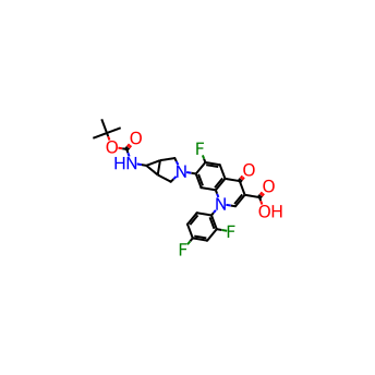 CC(C)(C)OC(=O)NC1C2CN(c3cc4c(cc3F)c(=O)c(C(=O)O)cn4-c3ccc(F)cc3F)CC21